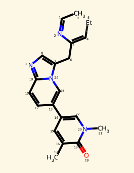 C/C=N\C(=C/CC)Cc1cnc2ccc(-c3cc(C)c(=O)n(C)c3)cn12